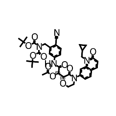 CC(=O)O[C@@H](C(=O)Nc1ccc(C#N)c(CN(C(=O)OC(C)(C)C)C(=O)OC(C)(C)C)c1)[C@H]1OCCN(c2ccc3ccc(=O)n(CC4CC4)c3c2)C1=O